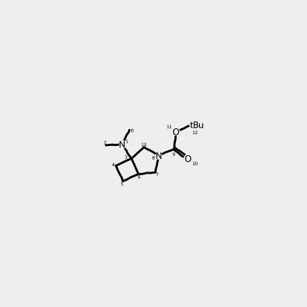 CN(C)C12CCC1CN(C(=O)OC(C)(C)C)C2